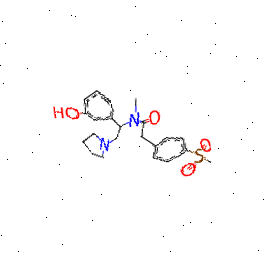 CN(C(=O)Cc1ccc(S(C)(=O)=O)cc1)C(CN1CCCC1)c1cccc(O)c1